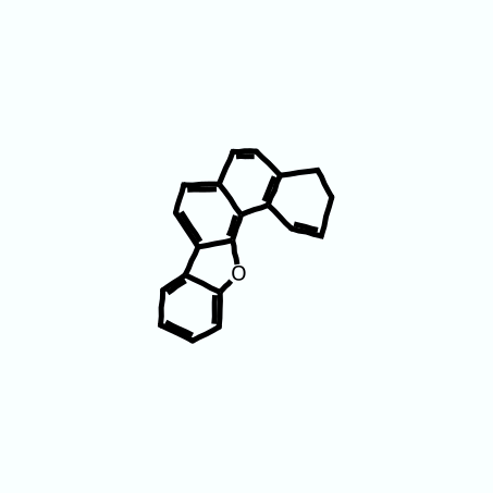 C1=Cc2c(ccc3ccc4c5ccccc5oc4c23)CC1